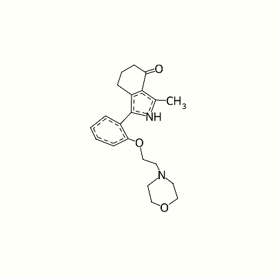 Cc1[nH]c(-c2ccccc2OCCN2CCOCC2)c2c1C(=O)CCC2